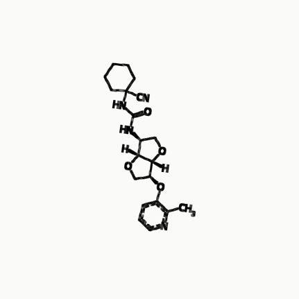 Cc1ncccc1O[C@H]1CO[C@H]2[C@@H]1OC[C@@H]2NC(=O)NC1(C#N)CCCCC1